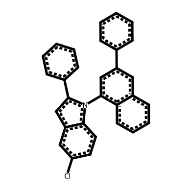 Clc1ccc2c(c1)cc(-c1ccccc1)n2-c1cc(-c2ccccc2)cc2ccccc12